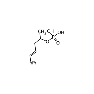 CCCC=CCC(C)OP(=O)(O)O